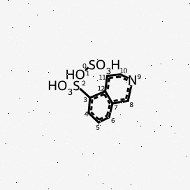 O=S(=O)(O)O.O=S(=O)(O)c1cccc2cnccc12